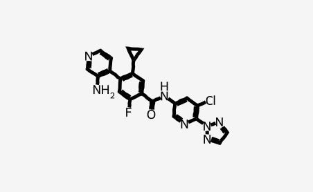 Nc1cnccc1-c1cc(F)c(C(=O)Nc2cnc(-n3nccn3)c(Cl)c2)cc1C1CC1